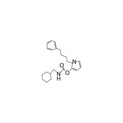 O=C(NCC1CCCCC1)Oc1cccnc1CCCCc1ccccc1